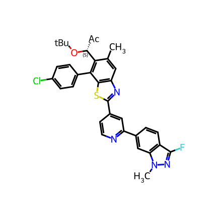 CC(=O)[C@@H](OC(C)(C)C)c1c(C)cc2nc(-c3ccnc(-c4ccc5c(F)nn(C)c5c4)c3)sc2c1-c1ccc(Cl)cc1